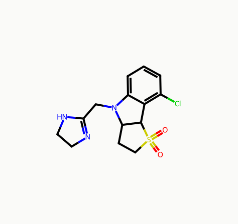 O=S1(=O)CCC2C1c1c(Cl)cccc1N2CC1=NCCN1